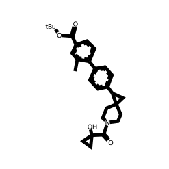 Cc1cc(C(=O)OC(C)(C)C)ccc1-c1ccc(C2CC23CCN(C(=O)C2(O)CC2)CC3)cc1